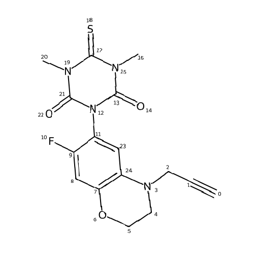 C#CCN1CCOc2cc(F)c(-n3c(=O)n(C)c(=S)n(C)c3=O)cc21